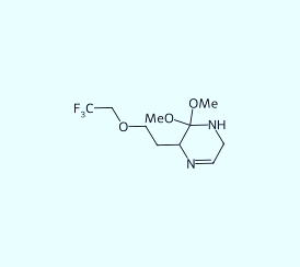 COC1(OC)NCC=NC1CCOCC(F)(F)F